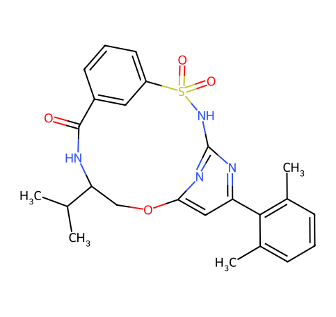 Cc1cccc(C)c1-c1cc2nc(n1)NS(=O)(=O)c1cccc(c1)C(=O)NC(C(C)C)CO2